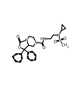 CS(=O)(=O)N(CCNC(=O)N1CCN2C(=O)OC(c3ccccc3)(c3ccccc3)C2C1)C1CC1